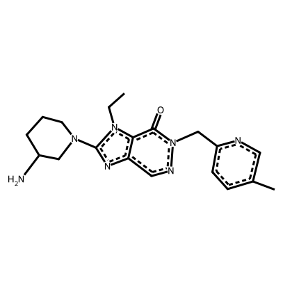 CCn1c(N2CCCC(N)C2)nc2cnn(Cc3ccc(C)cn3)c(=O)c21